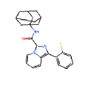 O=C(NC12CC3CC(CC(C3)C1)C2)c1nc(-c2ccccc2F)c2ccccn12